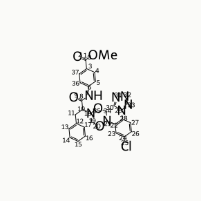 COC(=O)c1ccc(NC(=O)C(Cc2ccccc2)N2CON(c3cc(Cl)ccc3-n3cnnn3)CO2)cc1